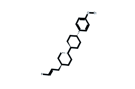 CCOc1ccc([C@H]2CC[C@H]([C@H]3CC[C@H](C/C=C/F)CC3)CC2)cc1